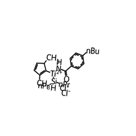 CCCCc1ccc(C(=O)[NH][Ti+2]([C]2=C(C)C=CC2C)[SiH](CCC)CCC)cc1.[Cl-].[Cl-]